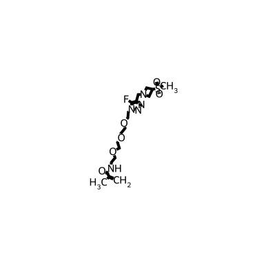 C=C(C)C(=O)NCCOCCOCCOCCn1nnc(CN2CC(S(C)(=O)=O)C2)c1F